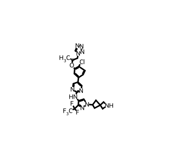 C[C@@H](Cn1cnnn1)Oc1cc(-c2cnc(Nc3cn(C4CC5(CNC5)C4)nc3C(F)(F)C(F)(F)F)nc2)ccc1Cl